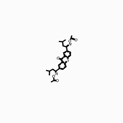 CC(=O)O/N=C(\CC(C)C)c1ccc2sc3ccc(/C(CC(C)C)=N/OC(C)=O)cc3c(=O)c2c1